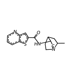 CC1CC2CCN1CC2NC(=O)c1cc2ncccc2s1